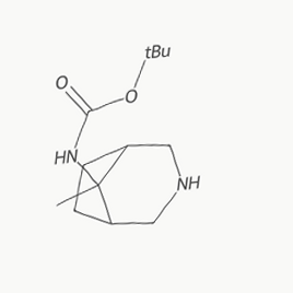 CC(C)(C)OC(=O)NC1(C)C2CCC1CNC2